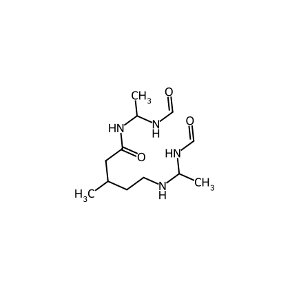 CC(CCNC(C)NC=O)CC(=O)NC(C)NC=O